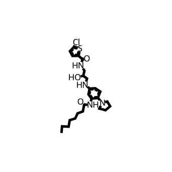 CCCCCCCC(=O)Nc1cc(NCC(O)CNC(=O)c2ccc(Cl)s2)ccc1N1CCCC1